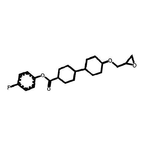 O=C(Oc1ccc(F)cc1)C1CCC(C2CCC(OCC3CO3)CC2)CC1